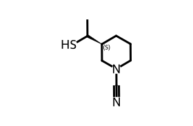 CC(S)[C@H]1CCCN(C#N)C1